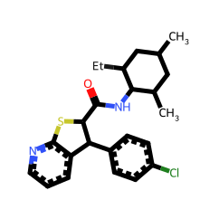 CCC1CC(C)CC(C)C1NC(=O)C1Sc2ncccc2C1c1ccc(Cl)cc1